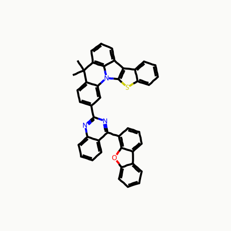 CC1(C)c2ccc(-c3nc(-c4cccc5c4oc4ccccc45)c4ccccc4n3)cc2-n2c3sc4ccccc4c3c3cccc1c32